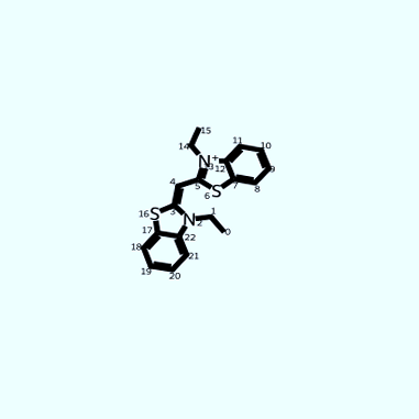 CCN1C(=Cc2sc3ccccc3[n+]2CC)Sc2ccccc21